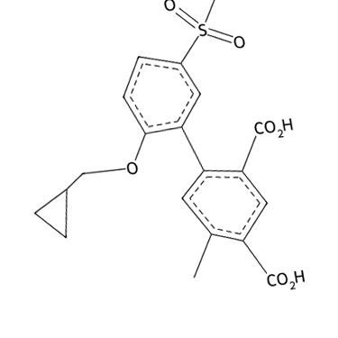 Cc1cc(-c2cc(S(C)(=O)=O)ccc2OCC2CC2)c(C(=O)O)cc1C(=O)O